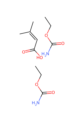 CC(C)=CC(=O)O.CCOC(N)=O.CCOC(N)=O